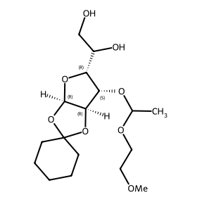 COCCOC(C)O[C@@H]1[C@H]2OC3(CCCCC3)O[C@H]2O[C@@H]1C(O)CO